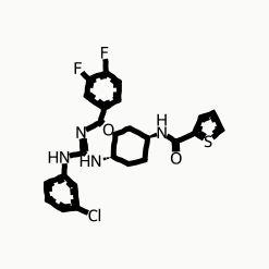 O=C(/N=C(/Nc1cccc(Cl)c1)N[C@H]1CC[C@H](NC(=O)c2cccs2)CC1)c1ccc(F)c(F)c1